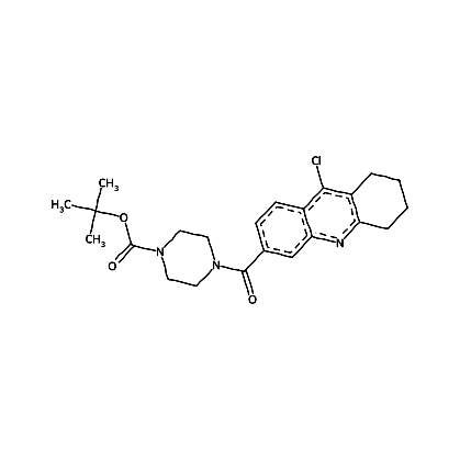 CC(C)(C)OC(=O)N1CCN(C(=O)c2ccc3c(Cl)c4c(nc3c2)CCCC4)CC1